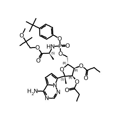 CCC(=O)O[C@H]1[C@@H](OC(=O)CC)[C@](C)(c2ccc3c(N)ncnn23)O[C@@H]1COP(=O)(N[C@@H](C)C(=O)OCC(C)(C)OC)Oc1ccc(C(C)(C)C)cc1